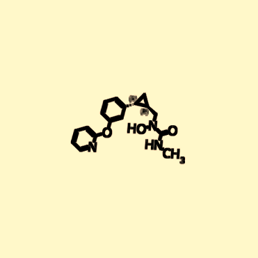 CNC(=O)N(O)C[C@@H]1C[C@H]1c1cccc(Oc2ccccn2)c1